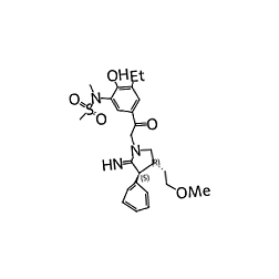 CCc1cc(C(=O)CN2C[C@H](CCOC)[C@@H](c3ccccc3)C2=N)cc(N(C)S(C)(=O)=O)c1O